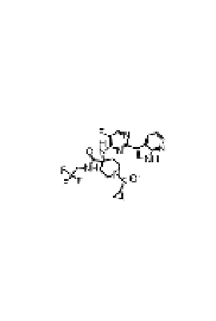 O=C(NCC(F)(F)F)C1(Nc2nc(-c3c[nH]c4ncccc34)ncc2F)CCN([S+]([O-])C2CC2)CC1